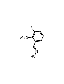 COc1c(F)cccc1/C=N/O